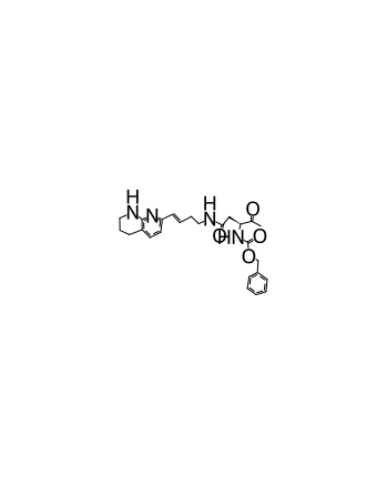 CC(=O)[C@H](CC(=O)NCCC=Cc1ccc2c(n1)NCCC2)NC(=O)OCc1ccccc1